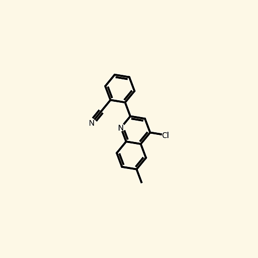 Cc1ccc2nc(-c3ccccc3C#N)cc(Cl)c2c1